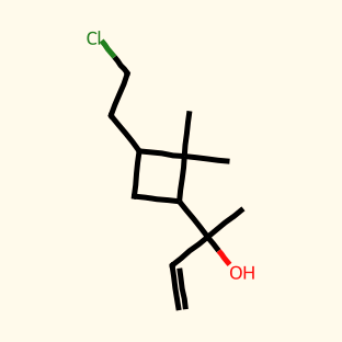 C=CC(C)(O)C1CC(CCCl)C1(C)C